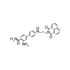 NNc1ccc(-c2ccc(NCCCN3C(=O)c4cccc5cccc(c45)C3=O)cc2)cc1N